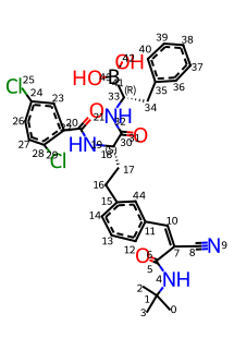 CC(C)(C)NC(=O)C(C#N)=Cc1cccc(CC[C@H](NC(=O)c2cc(Cl)ccc2Cl)C(=O)N[C@@H](Cc2ccccc2)B(O)O)c1